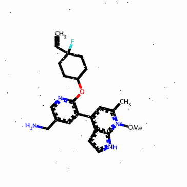 C=CC1(F)CCC(Oc2ncc(CN)cc2-c2cc(C)[n+](OC)c3[nH]ccc23)CC1